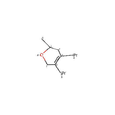 CC1CC(C(C)C)=C(C(C)C)CO1